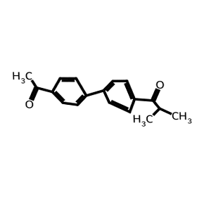 CC(=O)c1ccc(-c2ccc(C(=O)C(C)C)cc2)cc1